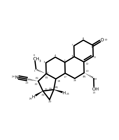 CC[C@]12CCC3C4CCC(=O)C=C4[C@H](CO)CC3C1[C@@H]1C[C@@H]1[C@@H]2C#N